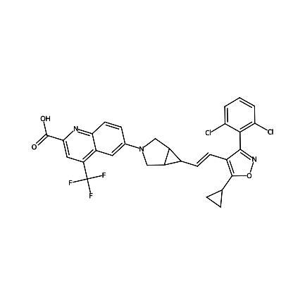 O=C(O)c1cc(C(F)(F)F)c2cc(N3CC4C(/C=C/c5c(-c6c(Cl)cccc6Cl)noc5C5CC5)C4C3)ccc2n1